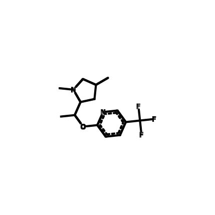 CC1CC(C(C)Oc2ccc(C(F)(F)F)cn2)N(C)C1